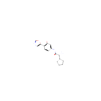 COc1cc(NC(=O)[C@H](N)C2CCCC2)ccc1-c1cnco1